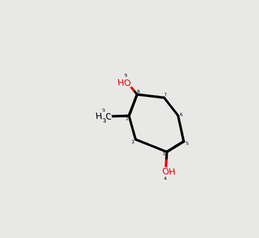 CC1CC(O)CCCC1O